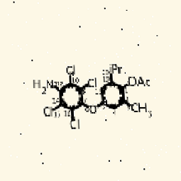 CC(=O)Oc1c(C)cc(Oc2c(Cl)c(Cl)c(N)c(Cl)c2Cl)cc1C(C)C